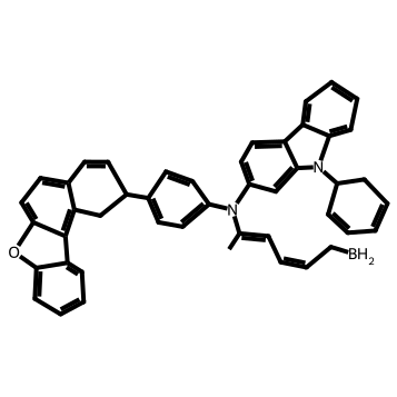 BC/C=C\C=C(/C)N(c1ccc(C2C=Cc3ccc4oc5ccccc5c4c3C2)cc1)c1ccc2c3ccccc3n(C3C=CC=CC3)c2c1